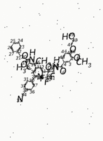 COc1cc(C(=O)NCC(O)(c2cc(C(C)(C)NC(=O)OCc3ccccc3)cc(-c3ccc(C#N)cc3)n2)C(F)(F)F)ccc1OCCO